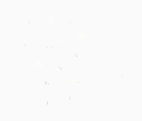 CC(C)(C)C(=O)C(Cl)(OCN1C(=O)NC(C)(C)C1=O)C(=O)Nc1ccc(Cl)cc1